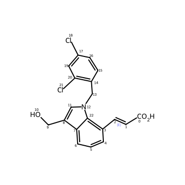 O=C(O)/C=C/c1cccc2c(CO)cn(Cc3ccc(Cl)cc3Cl)c12